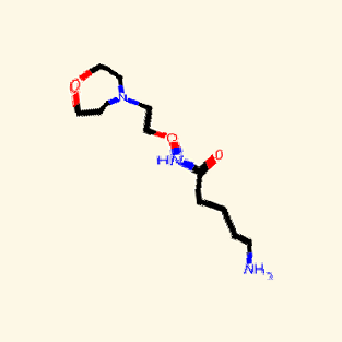 NCCCCC(=O)NOCCN1CCOCC1